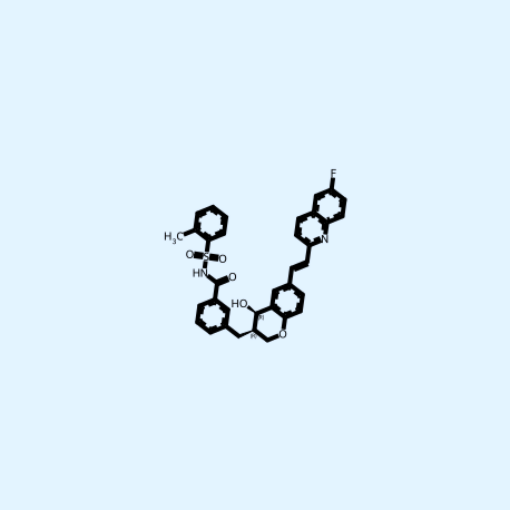 Cc1ccccc1S(=O)(=O)NC(=O)c1cccc(C[C@@H]2COc3ccc(C=Cc4ccc5cc(F)ccc5n4)cc3[C@@H]2O)c1